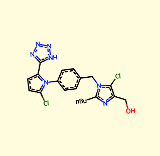 CCCCc1nc(CO)c(Cl)n1Cc1ccc(-n2c(Cl)ccc2-c2nnn[nH]2)cc1